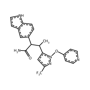 CC(c1cc(C(F)(F)F)nn1Oc1ccncc1)C(C(N)=O)c1ccc2[nH]ccc2c1